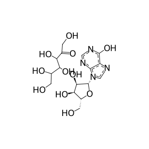 O=C(CO)C(O)C(O)C(O)CO.OC[C@H]1O[C@@H](n2cnc3c(O)ncnc32)[C@H](O)[C@@H]1O